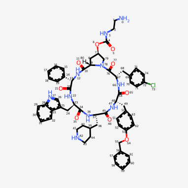 NCCNC(=O)O[C@@H]1C[C@H]2C(=O)N[C@@H](c3ccccc3)C(=O)N[C@H](Cc3c[nH]c4ccccc34)C(=O)N[C@@H](CC3CCNCC3)C(=O)N[C@@H](Cc3ccc(OCc4ccccc4)cc3)C(=O)N[C@@H](Cc3ccc(Cl)cc3)C(=O)N2C1